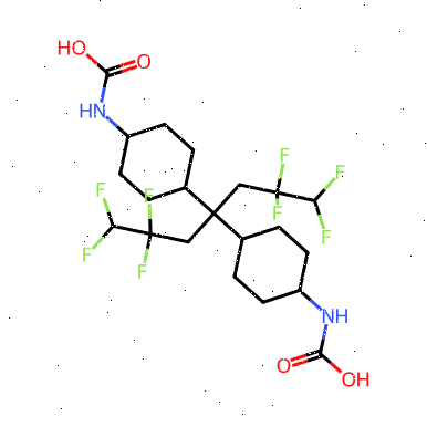 O=C(O)NC1CCC(C(CC(F)(F)C(F)F)(CC(F)(F)C(F)F)C2CCC(NC(=O)O)CC2)CC1